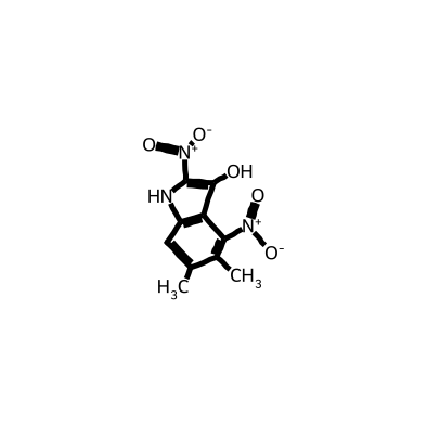 Cc1cc2[nH]c([N+](=O)[O-])c(O)c2c([N+](=O)[O-])c1C